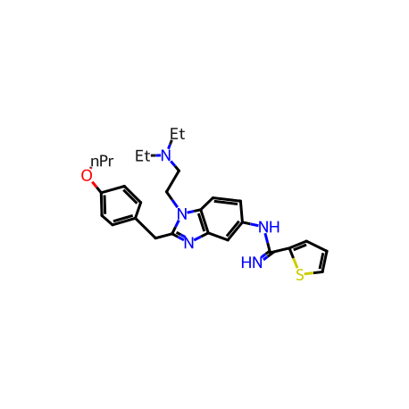 CCCOc1ccc(Cc2nc3cc(NC(=N)c4cccs4)ccc3n2CCN(CC)CC)cc1